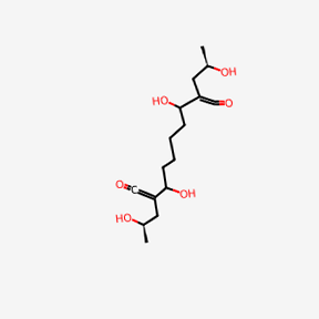 C[C@@H](O)CC(=C=O)C(O)CCCCC(O)C(=C=O)C[C@@H](C)O